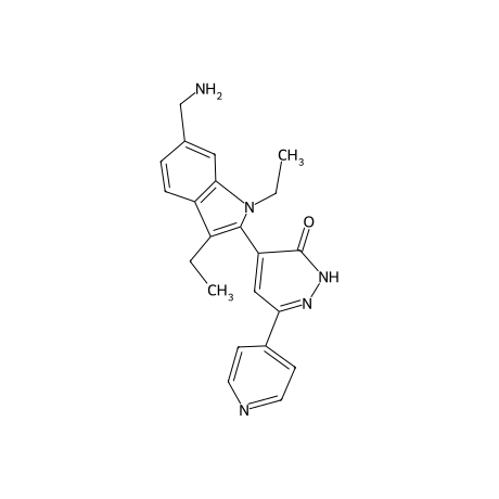 CCc1c(-c2cc(-c3ccncc3)n[nH]c2=O)n(CC)c2cc(CN)ccc12